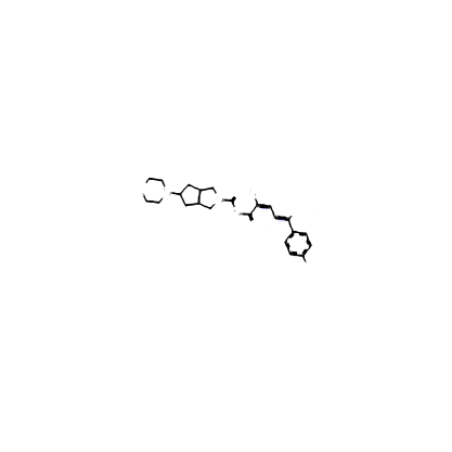 C=C(NC(=O)N1CC2CC(N3CCOCC3)CC2C1)/C(N)=C\C=C(/C)c1ccc(F)cc1